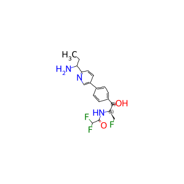 CCC(N)c1ccc(-c2ccc([C@@H](O)[C@@H](CF)NC(=O)C(F)F)cc2)cn1